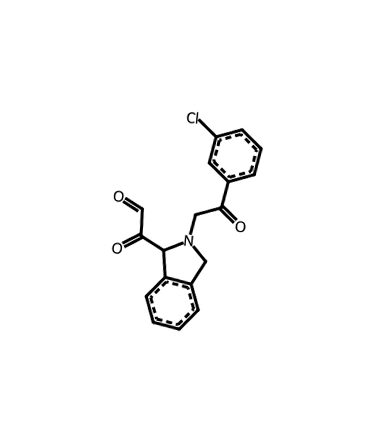 O=CC(=O)C1c2ccccc2CN1CC(=O)c1cccc(Cl)c1